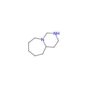 C1CCC2CCNCN2CC1